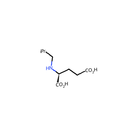 CC(C)CN[C@@H](CCC(=O)O)C(=O)O